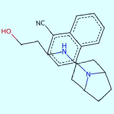 N#Cc1ccc(N2C3CCC2CC(NCCCO)C3)c2ccccc12